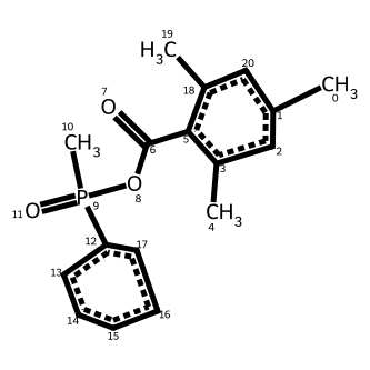 Cc1cc(C)c(C(=O)OP(C)(=O)c2ccccc2)c(C)c1